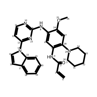 C=CC(=O)Nc1cc(Nc2nccc(-n3ccc4ccccc43)n2)c(OC)cc1N1CCCCC1